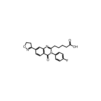 O=C(O)CCCCc1nc2cc(C3=NOCC3)ccc2c(=O)n1-c1ccc(F)cc1